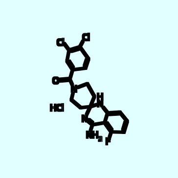 Cl.NC1=NC2(CCN(C(=O)c3ccc(Cl)c(Cl)c3)CC2)Nc2cccc(F)c21